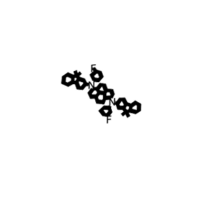 CC1(C)c2ccccc2-c2ccc(N(c3cccc(F)c3)c3ccc4ccc5c(N(c6cccc(F)c6)c6ccc7c(c6)C(C)(C)c6ccccc6-7)ccc6ccc3c4c65)cc21